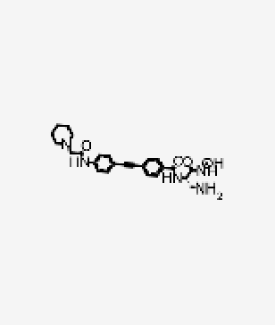 NC[C@H](NC(=O)c1ccc(C#Cc2ccc(NC(=O)CN3CCCCC3)cc2)cc1)C(=O)NO